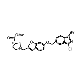 COC(=O)[C@@H]1CCN(CC2=Cc3ccc(OCc4ccc5c(c4)c(Cl)nn5C(C)C)cc3OC2)C1